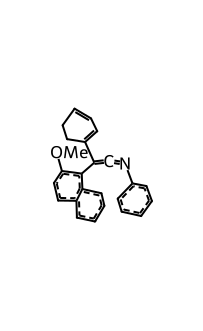 COc1ccc2ccccc2c1C(=C=Nc1ccccc1)C1=CC=CCC1